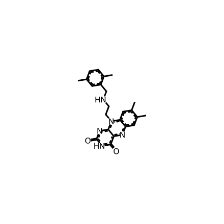 Cc1ccc(C)c(CNCCn2c3nc(=O)[nH]c(=O)c-3nc3cc(C)c(C)cc32)c1